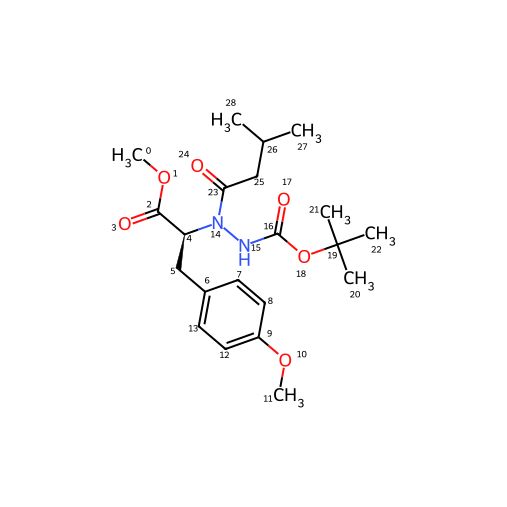 COC(=O)[C@H](Cc1ccc(OC)cc1)N(NC(=O)OC(C)(C)C)C(=O)CC(C)C